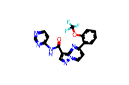 O=C(Nc1ccncn1)c1cnn2ccc(-c3ccccc3OC(F)(F)F)nc12